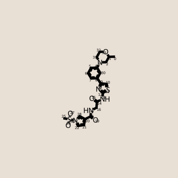 CC1CN(c2cccc(-c3csc(NC(=O)CNC(=O)c4ccn(S(C)(=O)=O)c4)n3)c2)CCO1